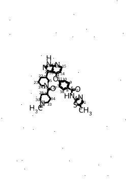 Cc1cnc(NC(=O)c2ccc(Oc3ccnc4[nH]nc(C5CCCN(C(=O)C6CCN(C)CC6)C5)c34)cc2)s1